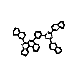 c1cc(-c2nc(-c3ccc4ccccc4c3)nc(-c3ccc4ccccc4c3)n2)cc(-c2cc3c(-c4ccc5ccccc5c4)nc4ccccc4c3c3ccccc23)c1